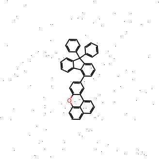 c1ccc(C2(c3ccccc3)c3ccccc3-c3c(-c4ccc5c(c4)-c4cccc6cccc(c46)O5)cccc32)cc1